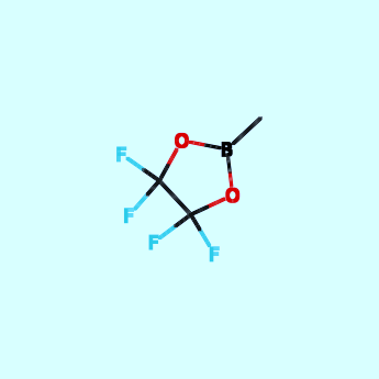 CB1OC(F)(F)C(F)(F)O1